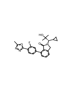 Cc1nnc(-c2ccc(-c3cccc4c3C(=O)N([C@H](C3CC3)C(C)(C)O)C4)cc2F)o1